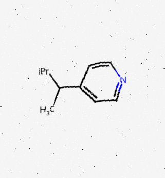 CC(C)C(C)c1ccncc1